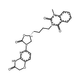 Cn1c(=O)n(CCCC[C@@H]2CN(c3ccc4c(n3)NC(=O)CO4)C(=O)O2)c(=O)c2ccccc21